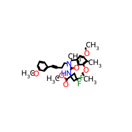 CCOc1cc([C@@H](C)N(CCC#Cc2cccc(OC)c2)C(=O)NC2(C(=O)OC)CC(F)(F)C2)cc(OCC)c1C